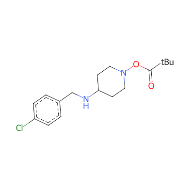 CC(C)(C)C(=O)ON1CCC(NCc2ccc(Cl)cc2)CC1